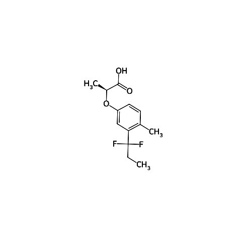 CCC(F)(F)c1cc(O[C@@H](C)C(=O)O)ccc1C